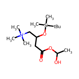 CC(O)OC(=O)CC(C[N+](C)(C)C)O[Si](C)(C)C(C)(C)C